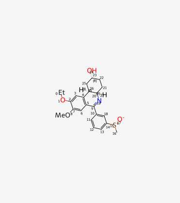 CCOc1cc2c(cc1OC)C(c1cccc([S+](C)[O-])c1)=N[C@@H]1CC[C@@H](O)C[C@H]21